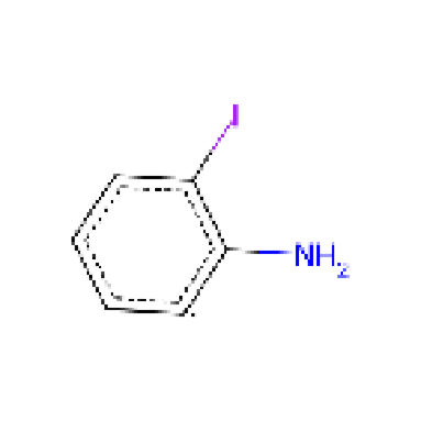 Nc1[c]cccc1I